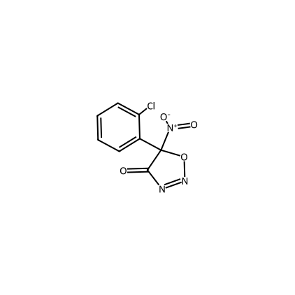 O=C1N=NOC1(c1ccccc1Cl)[N+](=O)[O-]